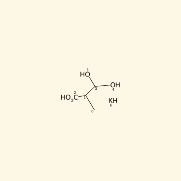 CC(C(=O)O)C(O)O.[KH]